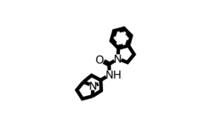 CN1C2CCC1CC(NC(=O)N1CCc3ccccc31)C2